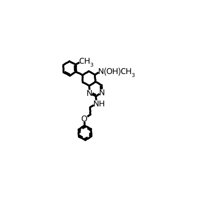 CC1=C(C2CC3N=C(NCCOc4ccccc4)N=CC3C(N(C)O)C2)C=CCC1